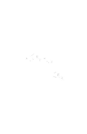 CCC(=O)Nc1ccc2c(c1)[C@@]1(C)CCC[C@](C)(C(=O)NC(=O)[C@@]3(C)CCC[C@]4(C)c5cc(N)ccc5CCC34)C1CC2